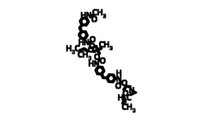 CCCCOCC(CN1CC1C)OC(=O)NC1CCC(CC2CCC(NC(=O)OCC(CC)(COCCC(C)C)COC(=O)NC3CCC(CC4CCC(NC(C)=O)CC4)CC3)CC2)CC1